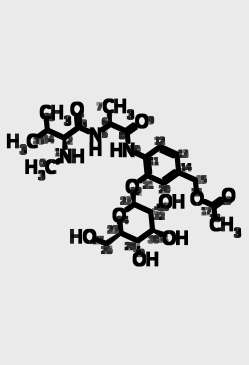 CN[C@H](C(=O)N[C@@H](C)C(=O)Nc1ccc(COC(C)=O)cc1O[C@@H]1O[C@H](CO)[C@@H](O)[C@H](O)[C@H]1O)C(C)C